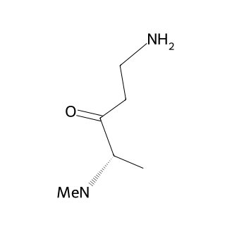 CN[C@@H](C)C(=O)CCN